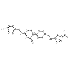 CC(C)[C@@H]1C[C@H](OCc2ccc(-n3ccc(OCc4ccc(F)cc4)cc3=O)cc2)CN1